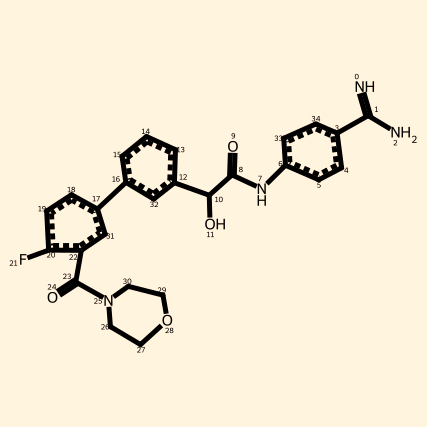 N=C(N)c1ccc(NC(=O)C(O)c2cccc(-c3ccc(F)c(C(=O)N4CCOCC4)c3)c2)cc1